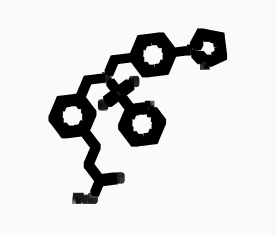 COC(=O)CCc1cccc(CN(Cc2ccc(-n3cccn3)cc2)S(=O)(=O)c2ccccn2)c1